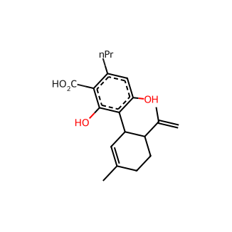 C=C(C)C1CCC(C)=CC1c1c(O)cc(CCC)c(C(=O)O)c1O